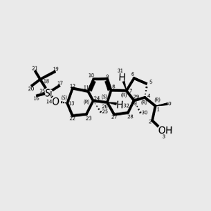 C[C@@H](CO)[C@H]1CC[C@H]2C3=CC=C4C[C@@H](O[Si](C)(C)C(C)(C)C)CC[C@]4(C)[C@H]3CC[C@]12C